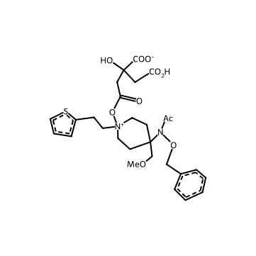 COCC1(N(OCc2ccccc2)C(C)=O)CC[N+](CCc2cccs2)(OC(=O)CC(O)(CC(=O)O)C(=O)[O-])CC1